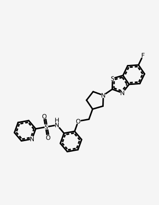 O=S(=O)(Nc1ccccc1OCC1CCN(c2nc3ccc(F)cc3s2)C1)c1ccccn1